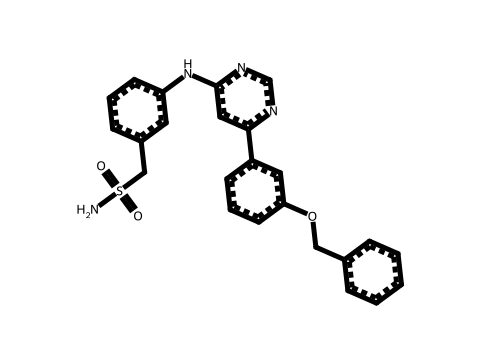 NS(=O)(=O)Cc1cccc(Nc2cc(-c3cccc(OCc4ccccc4)c3)ncn2)c1